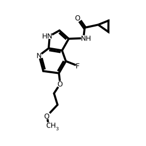 COCCOc1cnc2[nH]cc(NC(=O)C3CC3)c2c1F